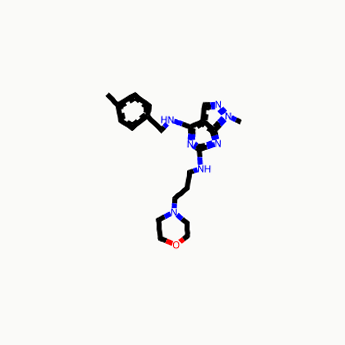 Cc1ccc(CNc2nc(NCCCN3CCOCC3)nc3c2cnn3C)cc1